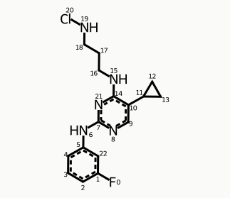 Fc1cccc(Nc2ncc(C3CC3)c(NCCCNCl)n2)c1